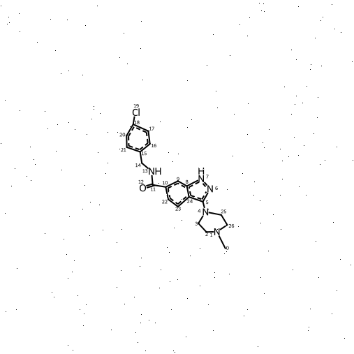 CN1CCN(c2n[nH]c3cc(C(=O)NCc4ccc(Cl)cc4)ccc23)CC1